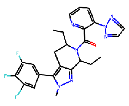 CCC1Cc2c(nn(C)c2-c2cc(F)c(F)c(F)c2)C(CC)N1C(=O)c1ncccc1-n1nccn1